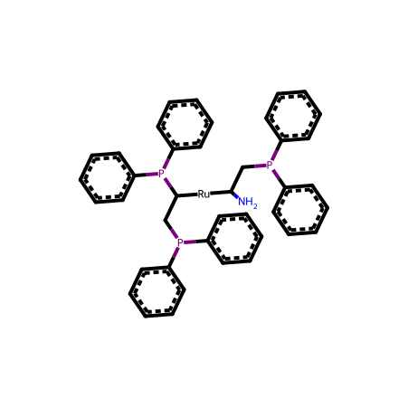 N[CH](CP(c1ccccc1)c1ccccc1)[Ru][CH](CP(c1ccccc1)c1ccccc1)P(c1ccccc1)c1ccccc1